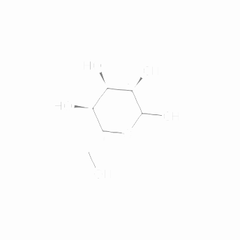 CC1O[C@H](CO)[C@@H](O)[C@@H](O)[C@H]1C